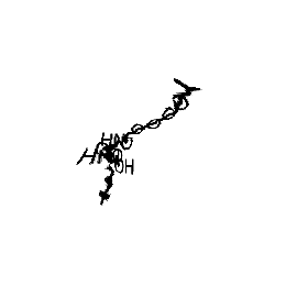 CC(C)CCOCCOCCOCCOCCC(=O)NCCS(=O)(=O)N[C@@H](CCCCC(C)(C)C)C(=O)O